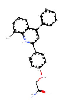 CCc1cccc2c(-c3ccccc3)cc(-c3ccc(OCC(N)=O)cc3)nc12